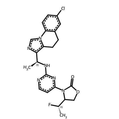 C[C@H](Nc1nccc(N2C(=O)OCC2[C@H](C)F)n1)c1ncn2c1CCc1cc(Cl)ccc1-2